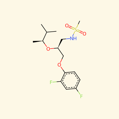 CC(C)[C@H](C)O[C@@H](CNS(C)(=O)=O)COc1ccc(F)cc1F